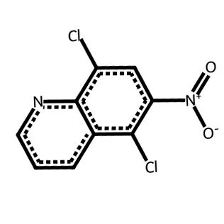 O=[N+]([O-])c1cc(Cl)c2ncccc2c1Cl